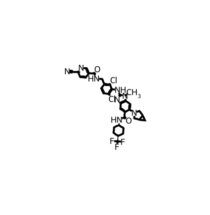 Cn1c(Nc2c(Cl)ccc(CNC(=O)c3ccc(C#N)nc3)c2Cl)nc2cc(C(=O)N[C@H]3CC[C@H](C(F)(F)F)CC3)c(N3CC4CC4C3)cc21